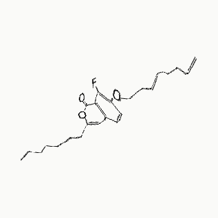 C=CCC/C=C/CCOc1ccc2cc(CCCCCCC)oc(=O)c2c1F